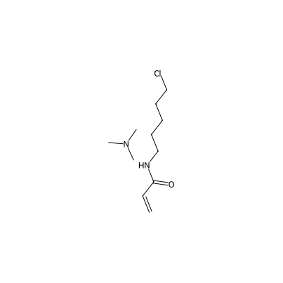 C=CC(=O)NCCCCCCl.CN(C)C